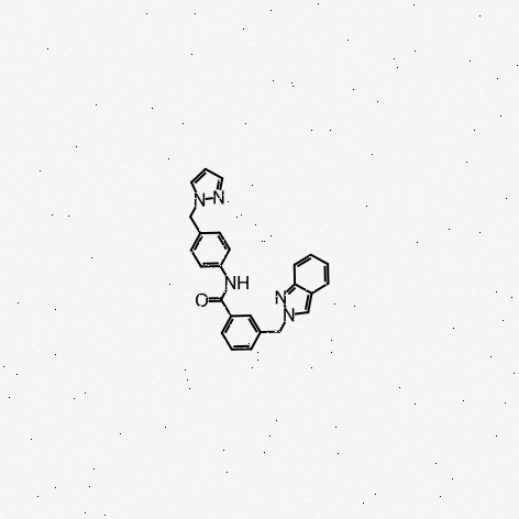 O=C(Nc1ccc(Cn2cccn2)cc1)c1cccc(Cn2cc3ccccc3n2)c1